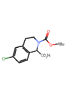 CC(C)(C)OC(=O)N1CCc2cc(Cl)ccc2C1C(=O)O